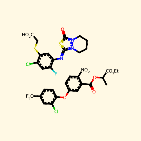 CCOC(=O)C(C)OC(=O)c1cc(Oc2ccc(C(F)(F)F)cc2Cl)ccc1[N+](=O)[O-].O=C(O)CSc1cc(N=c2sc(=O)n3n2CCCC3)c(F)cc1Cl